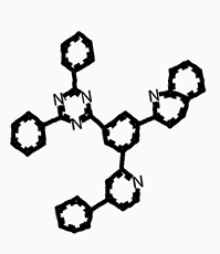 c1ccc(-c2ccnc(-c3cc(-c4ccc5ccccc5n4)cc(-c4nc(-c5ccccc5)nc(-c5ccccc5)n4)c3)c2)cc1